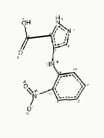 O=C(O)c1[nH]ncc1Nc1ccccc1[N+](=O)[O-]